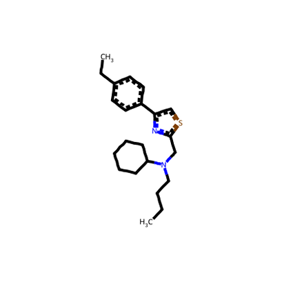 CCCCN(Cc1nc(-c2ccc(CC)cc2)cs1)C1CCCCC1